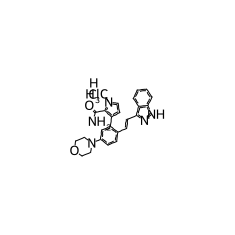 Cl.Cn1ccc(-c2cc(N3CCOCC3)ccc2C=Cc2n[nH]c3ccccc23)c1C(N)=O